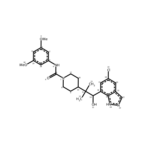 COc1cc(NC(=O)N2CCC(C(C)(C)C(O)c3cc(Cl)cc4cn[nH]c34)CC2)cc(OC)c1